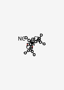 N#Cc1cccc(-c2ccc(-c3nc(-c4ccc(-n5c6ccc(-c7ccccc7)cc6c6cc(-c7ccccc7)ccc65)cc4-c4ccccc4C#N)nc(-c4ccc(-n5c6ccc(-c7ccccc7)cc6c6cc(-c7ccccc7)ccc65)cc4-c4ccccc4C#N)n3)cc2)c1